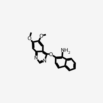 COc1cc2ncnc(Oc3ccc4ccccc4c3N)c2cc1OC